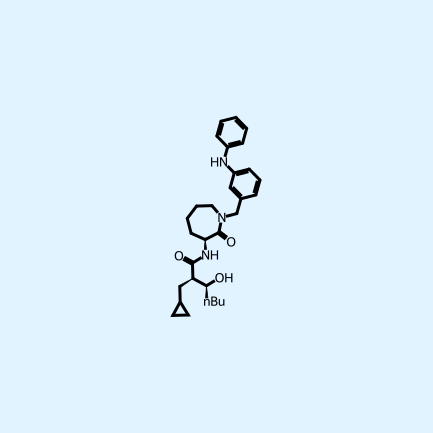 CCCC[C@H](O)[C@@H](CC1CC1)C(=O)N[C@H]1CCCCN(Cc2cccc(Nc3ccccc3)c2)C1=O